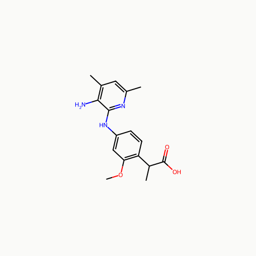 COc1cc(Nc2nc(C)cc(C)c2N)ccc1C(C)C(=O)O